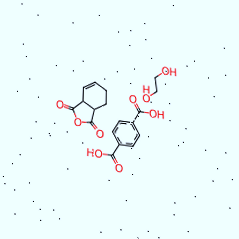 O=C(O)c1ccc(C(=O)O)cc1.O=C1OC(=O)C2CCC=CC12.OCCO